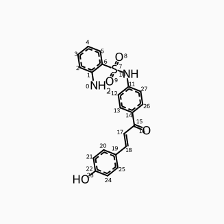 Nc1ccccc1S(=O)(=O)Nc1ccc(C(=O)/C=C/c2ccc(O)cc2)cc1